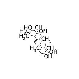 CC[C@]12C[C@H](O)C(C)(C)CC1C1=CCC3[C@@](C)(CCC4[C@]3(C)CC[C@H](O)[C@]4(C)CO)C1C[C@H]2O